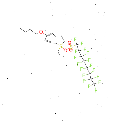 CCCCOc1ccc(S(CC)(CC)OS(=O)(=O)C(F)(F)C(F)(F)C(F)(F)C(F)(F)C(F)(F)C(F)(F)C(F)(F)C(F)(F)F)cc1